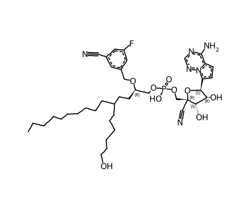 CCCCCCCCCCC(CCCCCCO)CC[C@H](COP(=O)(O)OC[C@@]1(C#N)O[C@@H](c2ccc3c(N)ncnn23)[C@H](O)[C@@H]1O)OCc1cc(F)cc(C#N)c1